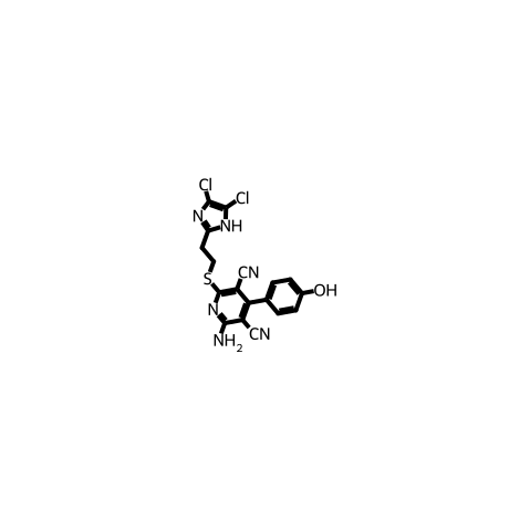 N#Cc1c(N)nc(SCCc2nc(Cl)c(Cl)[nH]2)c(C#N)c1-c1ccc(O)cc1